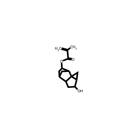 C=C(C)C(=O)OC1CC2CC1C13CC1C(O)CC23